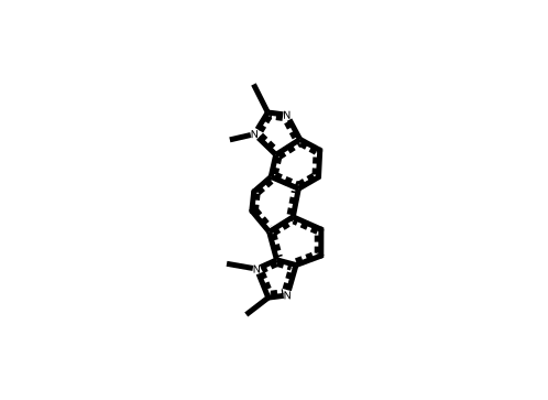 Cc1nc2ccc3c4ccc5nc(C)n(C)c5c4ccc3c2n1C